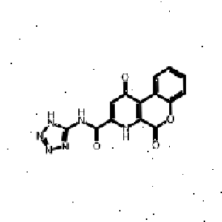 O=C(Nc1nnn[nH]1)c1cc(=O)c2c([nH]1)c(=O)oc1ccccc12